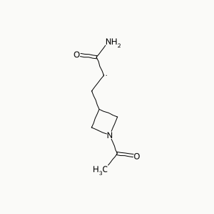 CC(=O)N1CC(C[CH]C(N)=O)C1